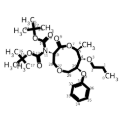 CCCO[C@H]1[C@H](C)OC(=O)[C@@H](N(C(=O)OC(C)(C)C)C(=O)OC(C)(C)C)COC[C@@H]1Oc1ccccc1